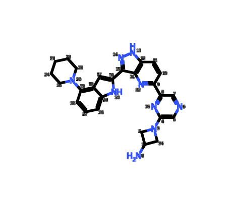 NC1CN(c2cncc(-c3ccc4[nH]nc(-c5cc6c(N7CCCCC7)cccc6[nH]5)c4n3)n2)C1